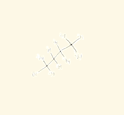 [2H]C([2H])([2H])C([2H])([2H])C([2H])([2H])C([2H])([2H])Br